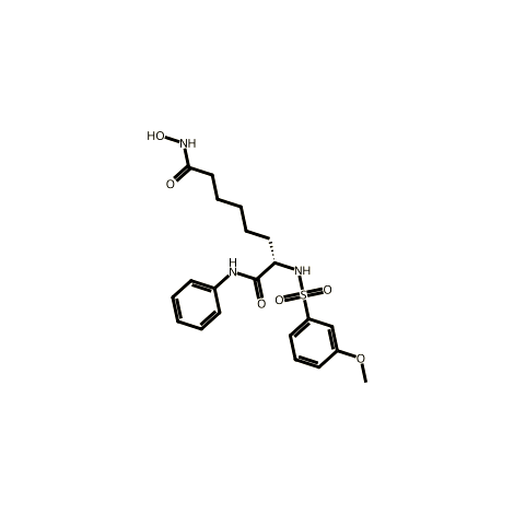 COc1cccc(S(=O)(=O)N[C@@H](CCCCCC(=O)NO)C(=O)Nc2ccccc2)c1